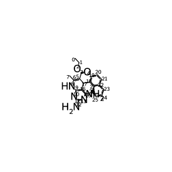 CCOC(=O)C1=C(C)Nc2nc(N)nc(N)c2C1c1cccc2ccccc12